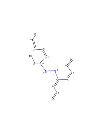 C=C\C=C/C(=C\C=C)/N=N/C(/C=C\C=C/C)=C/C